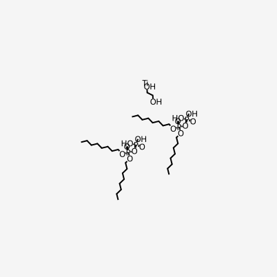 CCCCCCCCOP(=O)(OCCCCCCCC)OP(=O)(O)O.CCCCCCCCOP(=O)(OCCCCCCCC)OP(=O)(O)O.OCCO.[Ti]